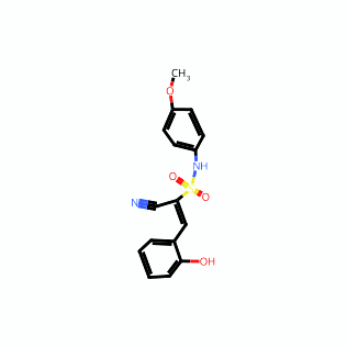 COc1ccc(NS(=O)(=O)/C(C#N)=C/c2ccccc2O)cc1